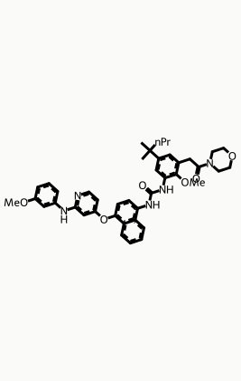 CCCC(C)(C)c1cc(CC(=O)N2CCOCC2)c(OC)c(NC(=O)Nc2ccc(Oc3ccnc(Nc4cccc(OC)c4)c3)c3ccccc23)c1